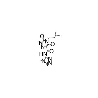 CC(C)CCn1c(=O)c(C(=O)Nc2nnnn2C)nn(C)c1=O